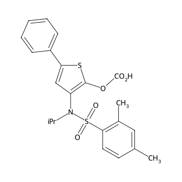 Cc1ccc(S(=O)(=O)N(c2cc(-c3ccccc3)sc2OC(=O)O)C(C)C)c(C)c1